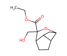 CCOC(=O)C1(CO)OC2CC3C2CCC31